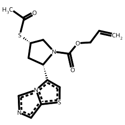 C=CCOC(=O)N1C[C@@H](SC(C)=O)C[C@H]1c1csc2cncn12